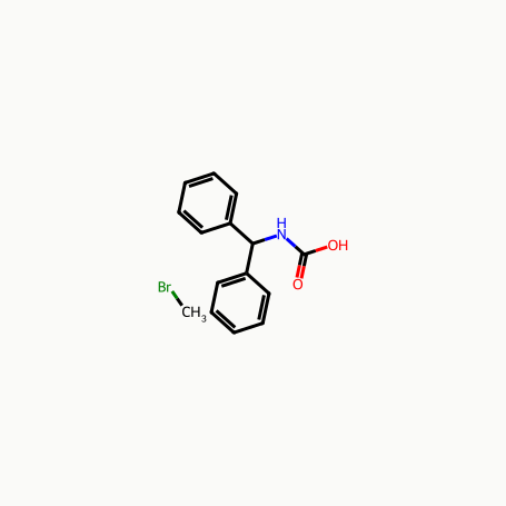 CBr.O=C(O)NC(c1ccccc1)c1ccccc1